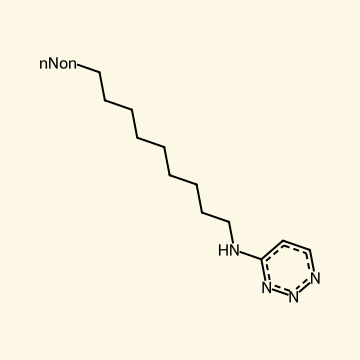 CCCCCCCCCCCCCCCCCCNc1ccnnn1